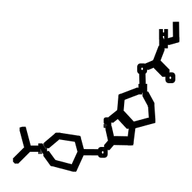 CCNC(=O)ON1CCc2cc(OC3CCN(C(C)C)CC3)sc2C1